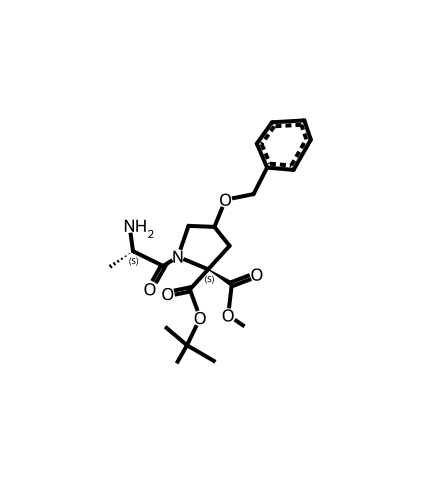 COC(=O)[C@]1(C(=O)OC(C)(C)C)CC(OCc2ccccc2)CN1C(=O)[C@H](C)N